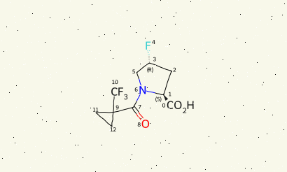 O=C(O)[C@@H]1C[C@@H](F)CN1C(=O)C1(C(F)(F)F)CC1